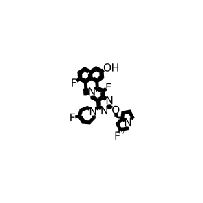 C#Cc1c(F)ccc2cc(O)cc(-c3ncc4c(N5CCC=C(F)CC5)nc(OC[C@@]56CCCN5C[C@H](F)C6)nc4c3F)c12